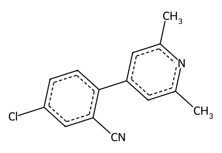 Cc1cc(-c2ccc(Cl)cc2C#N)cc(C)n1